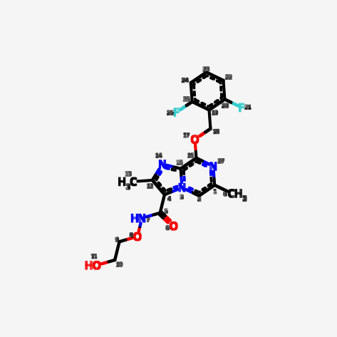 Cc1cn2c(C(=O)NOCCO)c(C)nc2c(OCc2c(F)cccc2F)n1